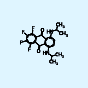 CC(C)Nc1ccc(NC(C)C)c2c1C(=O)c1c(F)c(F)c(F)c(F)c1C2=O